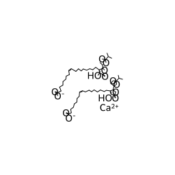 CC(C)C1OCC(C2OC(=O)C(O)=C2CCCCCCCC/C=C\CCCCCCCC(=O)[O-])O1.CC(C)C1OCC(C2OC(=O)C(O)=C2CCCCCCCC/C=C\CCCCCCCC(=O)[O-])O1.[Ca+2]